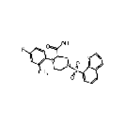 Cc1cc(F)ccc1N1CCN(S(=O)(=O)c2cccc3cccnc23)CC1C(=O)O